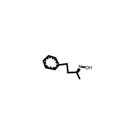 CC([CH]Cc1ccccc1)=NO